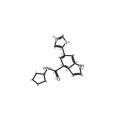 O=C(NC1CCCC1)c1cc(-c2cncs2)cc2[nH]ccc12